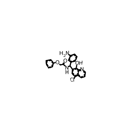 Nc1cccc(C(NC(=O)COc2ccccc2)c2cc(Cl)c3cccnc3c2O)c1